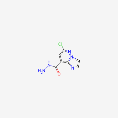 NNC(=O)c1cc(Cl)nn2ccnc12